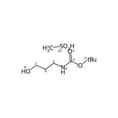 CC(C)(C)OC(=O)NCCCO.CS(=O)(=O)O